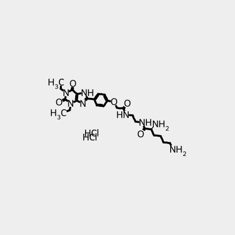 CCn1c(=O)c2[nH]c(-c3ccc(OCC(=O)NCCNC(=O)[C@H](N)CCCCN)cc3)nc2n(CC)c1=O.Cl.Cl